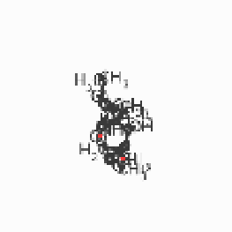 CCn1c(-c2cccnc2[C@H](C)OC)c2c3cc(ccc31)-c1cc(O)cc(c1)C[C@H](NC(=O)C(C(C)C)N(C)C(=O)N1CCCN(C(=O)/C=C/CN(C)C)CC1)C(=O)N1CCC[C@H](N1)C(=O)OCC(C)(C)C2